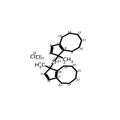 C[C]1([Zr+2][C]2(C)C=CC3=C2CCCCCC3)C=CC2=C1CCCCCC2.[Cl-].[Cl-]